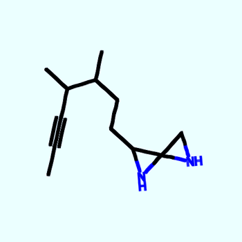 CC#CC(C)C(C)CCC1NC12CN2